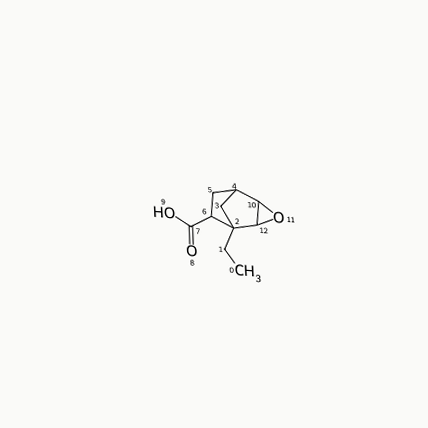 CCC12CC(CC1C(=O)O)C1OC12